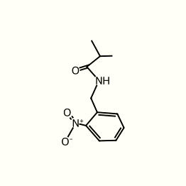 CC(C)C(=O)NCc1ccccc1[N+](=O)[O-]